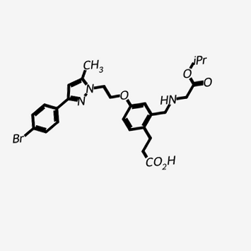 Cc1cc(-c2ccc(Br)cc2)nn1CCOc1ccc(CCC(=O)O)c(CNCC(=O)OC(C)C)c1